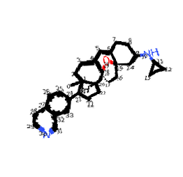 CC12CC=C3C=C4CCC(NC5CC5)C[C@]45CC[C@]3(O5)[C@@H]1CCC2c1ccc2ccncc2c1